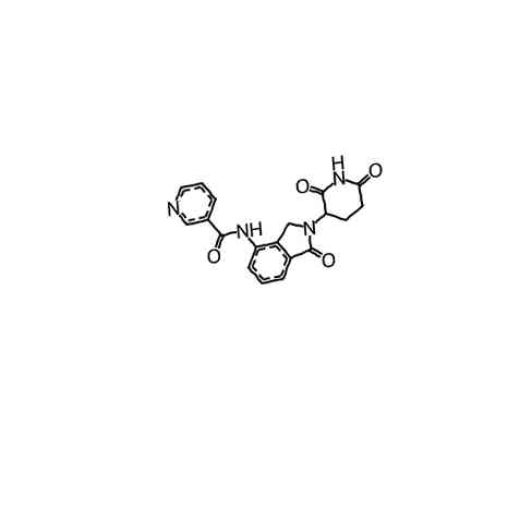 O=C1CCC(N2Cc3c(NC(=O)c4cccnc4)cccc3C2=O)C(=O)N1